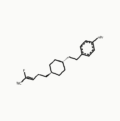 CCCc1ccc(CC[C@H]2CC[C@H](CCC=C(F)C#N)CC2)cc1